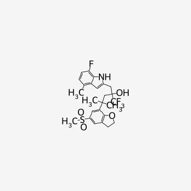 Cc1ccc(F)c2[nH]c(CC(O)(CC(C)(C)c3cc(S(C)(=O)=O)cc4c3OCC4)C(F)(F)F)cc12